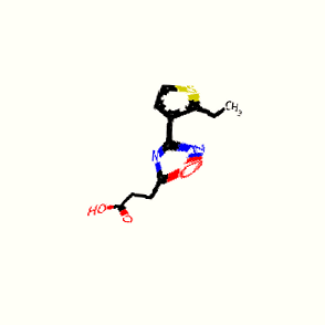 CCc1sccc1-c1noc(CCC(=O)O)n1